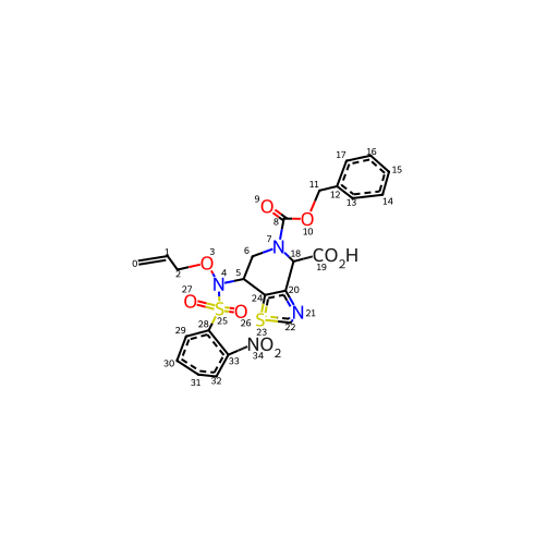 C=CCON(C1CN(C(=O)OCc2ccccc2)C(C(=O)O)c2ncsc21)S(=O)(=O)c1ccccc1[N+](=O)[O-]